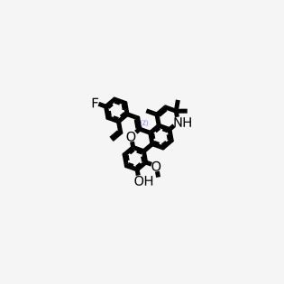 C=Cc1cc(F)ccc1/C=C1\Oc2ccc(O)c(OC)c2-c2ccc3c(c21)C(C)=CC(C)(C)N3